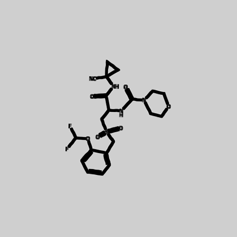 N#CC1(NC(=O)C(CS(=O)(=O)Cc2ccccc2OC(F)F)NC(=O)N2CCOCC2)CC1